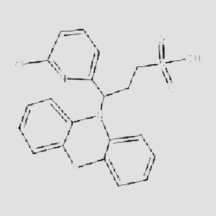 O=S(=O)(O)CCC(c1cccc(Cl)n1)N1c2ccccc2Sc2ccccc21